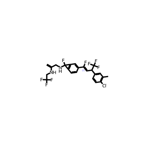 C=C(CNC1(F)c2ccc(/C(F)=C/C(c3ccc(Cl)c(C)c3)C(F)(F)F)cc21)NCC(F)(F)F